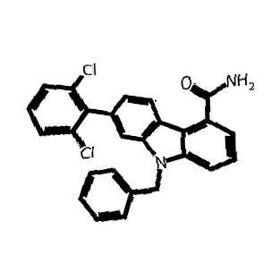 NC(=O)c1cccc2c1c1[c]cc(-c3c(Cl)cccc3Cl)cc1n2Cc1ccccc1